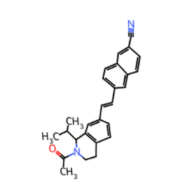 CC(=O)N1CCc2ccc(C=Cc3ccc4cc(C#N)ccc4c3)cc2C1C(C)C